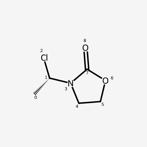 C[C@H](Cl)N1CCOC1=O